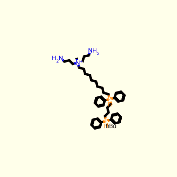 CCCC[PH](CCCC[PH](CCCCCCCCCC[N+](C)(CCCN)CCCN)(c1ccccc1)c1ccccc1)(c1ccccc1)c1ccccc1